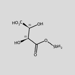 O=C(O)[C@@H](O)[C@H](O)C(=O)[O][SbH2]